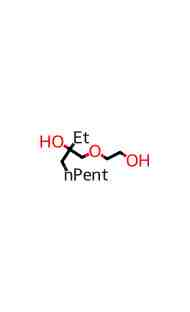 CCCCCCC(O)(CC)COCCO